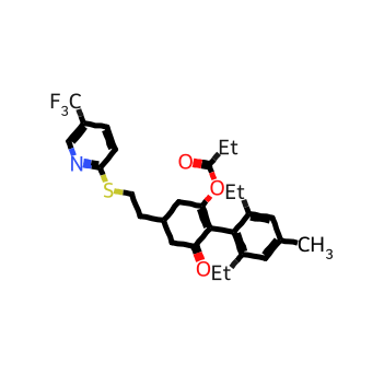 CCC(=O)OC1=C(c2c(CC)cc(C)cc2CC)C(=O)CC(CCSc2ccc(C(F)(F)F)cn2)C1